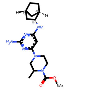 CC1CN(c2cc(N[C@@H]3C[C@@H]4CC[C@@H]3C4)nc(N)n2)CCN1C(=O)OC(C)(C)C